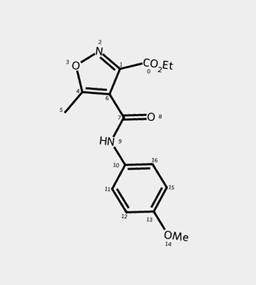 CCOC(=O)c1noc(C)c1C(=O)Nc1ccc(OC)cc1